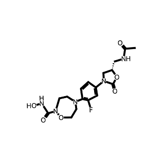 CC(=O)NC[C@H]1CN(c2ccc(N3CCON(C(=O)NO)CC3)c(F)c2)C(=O)O1